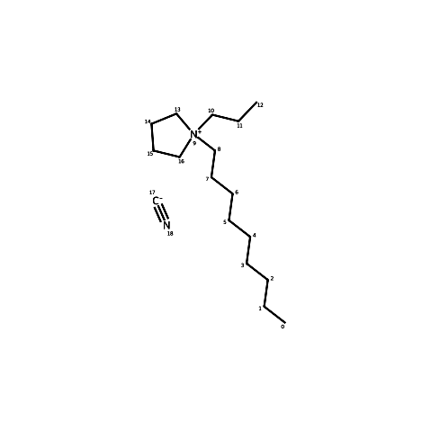 CCCCCCCCC[N+]1(CCC)CCCC1.[C-]#N